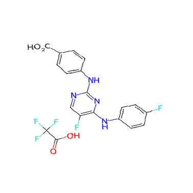 O=C(O)C(F)(F)F.O=C(O)c1ccc(Nc2ncc(F)c(Nc3ccc(F)cc3)n2)cc1